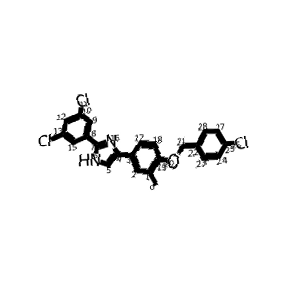 Cc1cc(-c2c[nH]c(-c3cc(Cl)cc(Cl)c3)n2)ccc1OCc1ccc(Cl)cc1